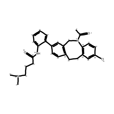 CC(=O)N1Cc2cc(-c3ccccc3NC(=O)CCCN(C)C)ccc2CCc2cc(Cl)ccc21